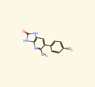 Cc1nc2[nH]c(=O)[nH]c2cc1-c1ccc([N+](=O)[O-])cc1